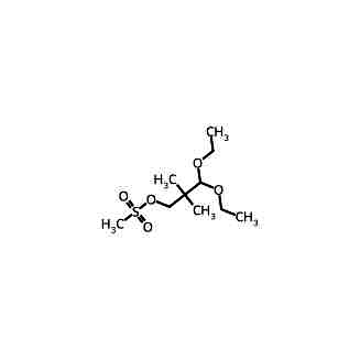 CCOC(OCC)C(C)(C)COS(C)(=O)=O